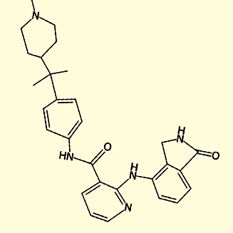 CN1CCC(C(C)(C)c2ccc(NC(=O)c3cccnc3Nc3cccc4c3CNC4=O)cc2)CC1